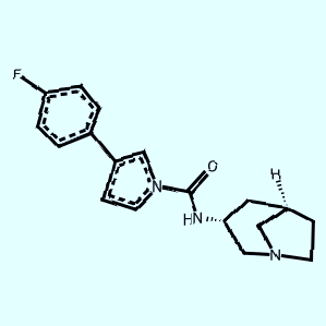 O=C(N[C@@H]1C[C@H]2CCN(C2)C1)n1ccc(-c2ccc(F)cc2)c1